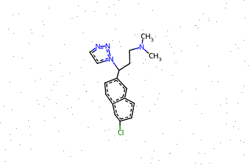 CN(C)CCC(c1ccc2cc(Cl)ccc2c1)n1ccnn1